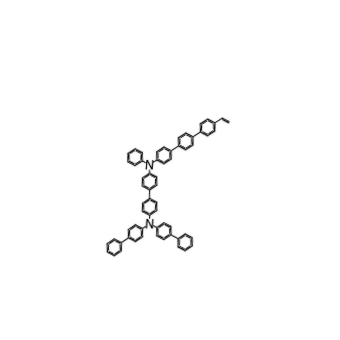 C=Cc1ccc(-c2ccc(-c3ccc(N(c4ccccc4)c4ccc(-c5ccc(N(c6ccc(-c7ccccc7)cc6)c6ccc(-c7ccccc7)cc6)cc5)cc4)cc3)cc2)cc1